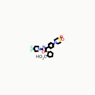 O=C(O)[C@@H]1CCCC[C@H]1c1oc(N2CCC(F)(F)CC2)nc1-c1ccc(N2CCS(=O)(=O)CC2)cc1